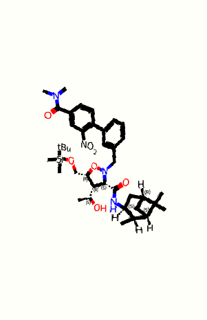 C[C@@H]1[C@@H](NC(=O)[C@@H]2[C@H]([C@H](C)O)[C@H](CO[Si](C)(C)C(C)(C)C)ON2Cc2cccc(-c3ccc(C(=O)N(C)C)cc3[N+](=O)[O-])c2)C[C@H]2C[C@@H]1C2(C)C